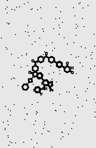 CC(C)n1cnc2cc(-c3ccc4c(c3)N([C@H]3C[C@@H](N5CCCCC5)C3)C(=O)C43CCN(C(=O)C4CCN(C(=O)C5CCN(c6ccc(N7CCC(=O)NC7=O)cc6)CC5)CC4)CC3)nc(Nc3ccncc3F)c21